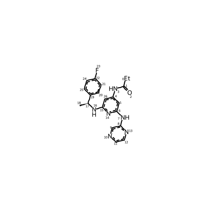 CCC(=O)Nc1cc(Nc2cnccn2)nc(N[C@@H](C)c2ccc(F)cc2)c1